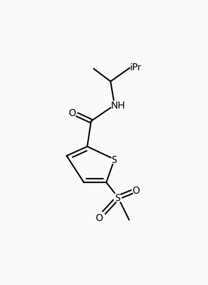 CC(C)C(C)NC(=O)c1ccc(S(C)(=O)=O)s1